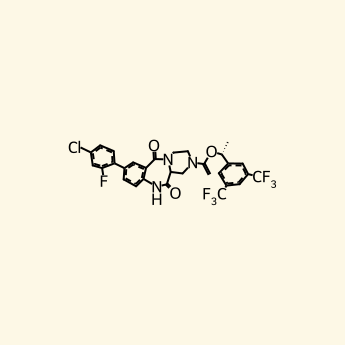 C=C(O[C@H](C)c1cc(C(F)(F)F)cc(C(F)(F)F)c1)N1CCN2C(=O)c3cc(-c4ccc(Cl)cc4F)ccc3NC(=O)C2C1